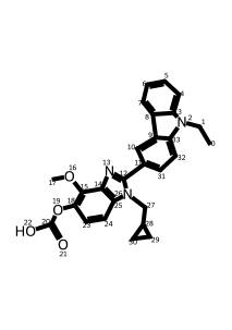 CCn1c2ccccc2c2cc(-c3nc4c(OC)c(OC(=O)O)ccc4n3CC3CC3)ccc21